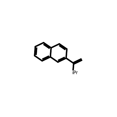 C=C(c1ccc2ccccc2c1)C(C)C